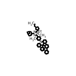 C=CCC1CCC(CC)(c2nc(C3=CCC4CC(C3)C4)nc(-c3c(C)cc(N4c5ccccc5C(c5ccccc5)(c5cccc6c5oc5ccccc56)c5ccccc54)cc3C)n2)C1